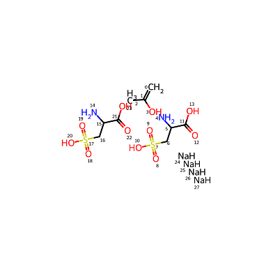 C=C(C)O.NC(CS(=O)(=O)O)C(=O)O.NC(CS(=O)(=O)O)C(=O)O.[NaH].[NaH].[NaH].[NaH]